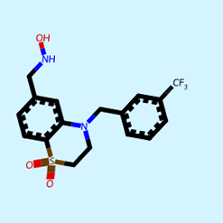 O=S1(=O)CCN(Cc2cccc(C(F)(F)F)c2)c2cc(CNO)ccc21